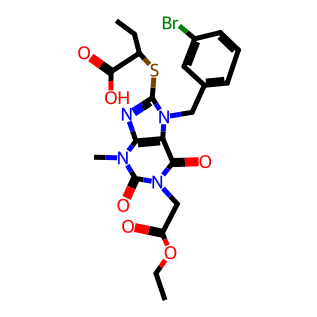 CCOC(=O)Cn1c(=O)c2c(nc(SC(CC)C(=O)O)n2Cc2cccc(Br)c2)n(C)c1=O